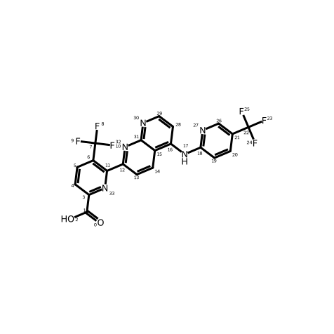 O=C(O)c1ccc(C(F)(F)F)c(-c2ccc3c(Nc4ccc(C(F)(F)F)cn4)ccnc3n2)n1